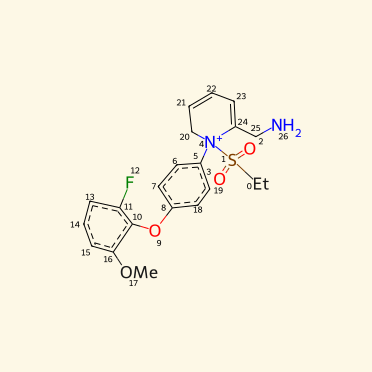 CCS(=O)(=O)[N+]1(c2ccc(Oc3c(F)cccc3OC)cc2)CC=CC=C1CN